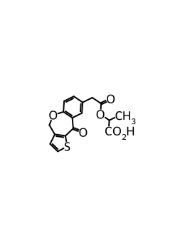 CC(OC(=O)Cc1ccc2c(c1)C(=O)c1sccc1CO2)C(=O)O